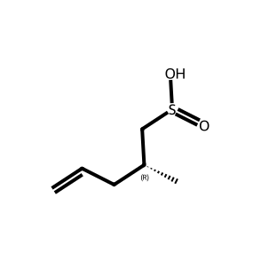 C=CC[C@@H](C)CS(=O)O